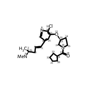 CN[C@@H](C)CC=Cc1cnc(Cl)c(O[C@H]2CCN(C(=O)C3CCCC3)C2)c1